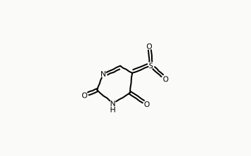 O=C1N=CC(=S(=O)=O)C(=O)N1